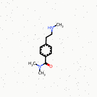 CNCCc1ccc(C(=O)N(C)C)cc1